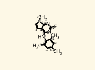 Bn1ccc2c(Nc3c(C)cc(C)cc3C)nc(F)nc21